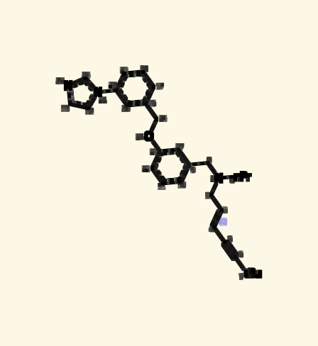 CCCN(C/C=C/C#CC(C)(C)C)Cc1cccc(OCc2cccc(-n3ccnc3)c2)c1